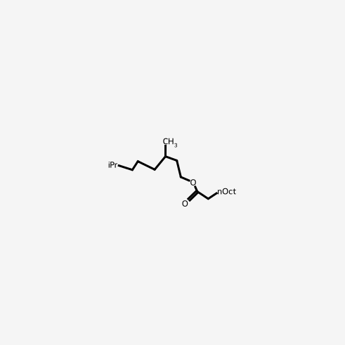 CCCCCCCCCC(=O)OCCC(C)CCCC(C)C